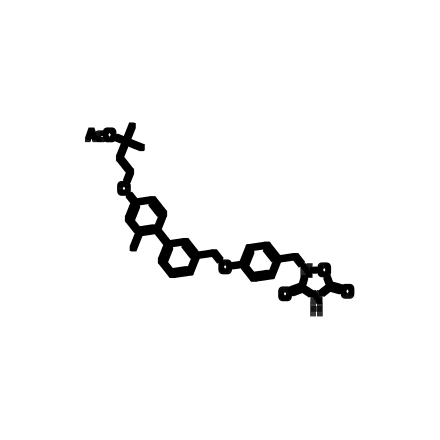 CC(=O)OC(C)(C)CCOc1ccc(-c2cccc(COc3ccc(Cn4oc(=O)[nH]c4=O)cc3)c2)c(C)c1